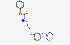 O=C(NCCCOc1cccc(CN2CCCCC2)c1)Oc1ccccc1